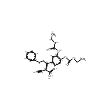 CCOC(=O)Oc1ccc(C(CCc2ccccc2)=C(C#N)C(=O)O)cc1OC(=O)OCC